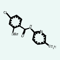 COc1cc(Cl)ccc1C(=O)Nc1ccc(C(=O)O)cn1